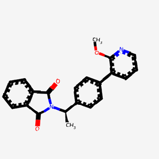 COc1ncccc1-c1ccc([C@@H](C)N2C(=O)c3ccccc3C2=O)cc1